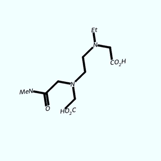 CCN(CCN(CC(=O)O)CC(=O)NC)CC(=O)O